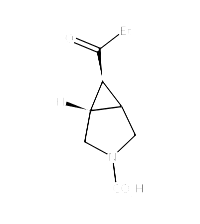 CCC(=O)[C@H]1C2CN(C(=O)O)C[C@@H]21